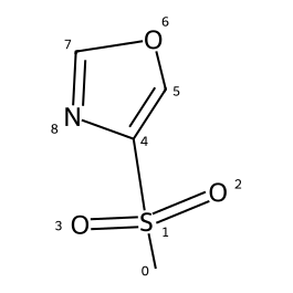 CS(=O)(=O)c1cocn1